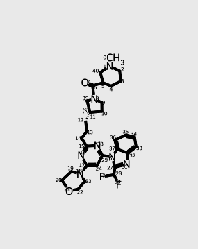 CN1CCCC(C(=O)N2CC[C@H](CCCc3nc(N4CCOCC4)cc(-n4c(C(F)F)nc5ccccc54)n3)C2)C1